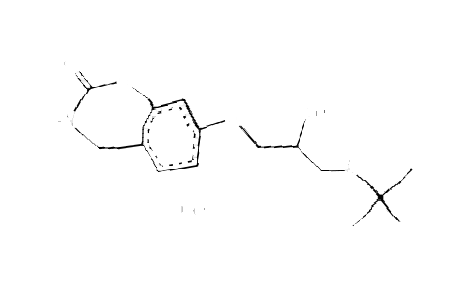 CC(C)(C)NCC(O)COc1ccc2c(c1)OC(=O)NC2.Cl